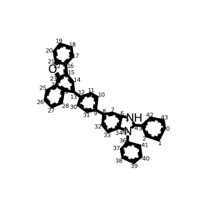 c1ccc(C2Nc3cc(-c4ccc(-c5cc6c7ccccc7oc6c6ccccc56)cc4)ccc3N2c2ccccc2)cc1